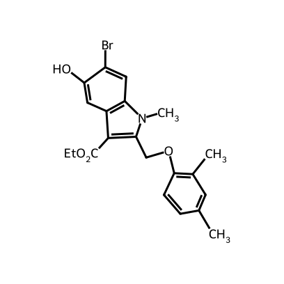 CCOC(=O)c1c(COc2ccc(C)cc2C)n(C)c2cc(Br)c(O)cc12